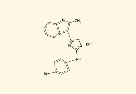 Br.Cc1nc2ccccn2c1-c1csc(Nc2ccc(Br)cc2)n1